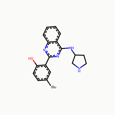 CC(C)(C)c1ccc(O)c(-c2nc(NC3CCNC3)c3ccccc3n2)c1